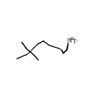 CC[CH]CCC(C)(C)C